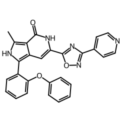 Cc1[nH]c(-c2ccccc2Oc2ccccc2)c2cc(-c3nc(-c4ccncc4)no3)[nH]c(=O)c12